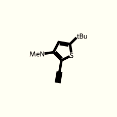 C#Cc1sc(C(C)(C)C)cc1NC